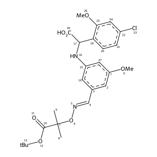 COc1cc(C=NOC(C)(C)C(=O)OC(C)(C)C)cc(NC(C(=O)O)c2ccc(Cl)cc2OC)c1